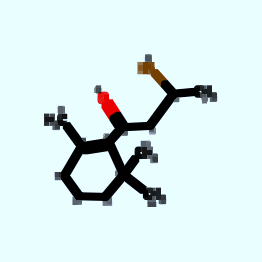 CC1=C(C(=O)CC(C)S)C(C)(C)CCC1